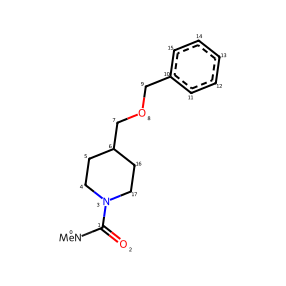 CNC(=O)N1CCC(COCc2ccccc2)CC1